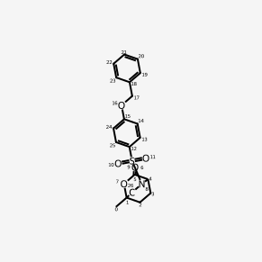 CC12CCC(C(=O)O1)N(S(=O)(=O)c1ccc(OCc3ccccc3)cc1)C2